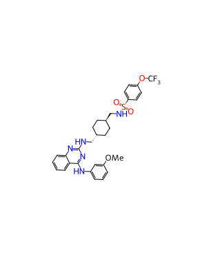 COc1cccc(Nc2nc(NC[C@H]3CC[C@H](CNS(=O)(=O)c4ccc(OC(F)(F)F)cc4)CC3)nc3ccccc23)c1